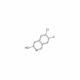 Oc1cc2cc(Cl)c(F)cc2cn1